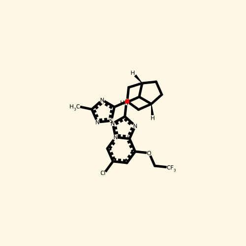 Cc1nsc(N2C[C@H]3CC[C@@H](C2)C3Nc2nc3c(OCC(F)(F)F)cc(Cl)cn3n2)n1